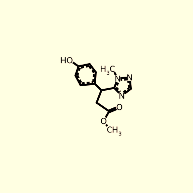 COC(=O)CC(c1ccc(O)cc1)c1ncnn1C